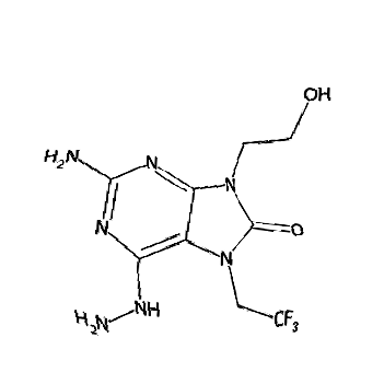 NNc1nc(N)nc2c1n(CC(F)(F)F)c(=O)n2CCO